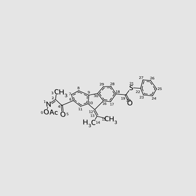 CC(=O)O/N=C(/C)C(=O)c1ccc2c(c1)C(=C(C)C)c1cc(C(=O)Sc3ccccc3)ccc1-2